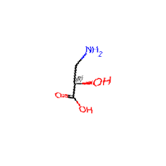 NC[C@@H](O)C(=O)O